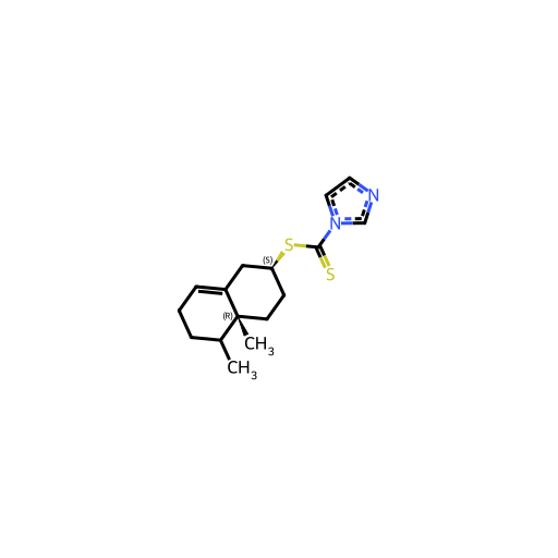 CC1CCC=C2C[C@@H](SC(=S)n3ccnc3)CC[C@@]21C